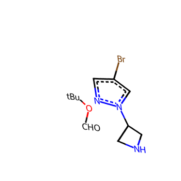 Brc1cnn(C2CNC2)c1.CC(C)(C)OC=O